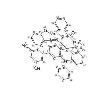 N#Cc1cc(C#N)cc(-c2ccc3c(c2)N(c2ccccc2)c2ccccc2C32c3ccccc3P(=O)(c3ccccc3)c3cc4oc5ccccc5c4cc32)c1